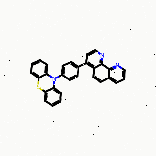 c1ccc2c(c1)Sc1ccccc1N2c1ccc(-c2ccnc3c2ccc2cccnc23)cc1